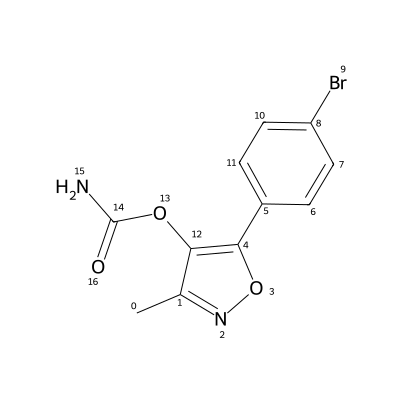 Cc1noc(-c2ccc(Br)cc2)c1OC(N)=O